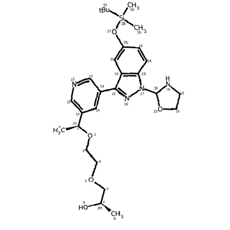 C[C@H](OCCOC[C@@H](C)O)c1cncc(-c2nn(C3NCCO3)c3ccc(O[Si](C)(C)C(C)(C)C)cc23)c1